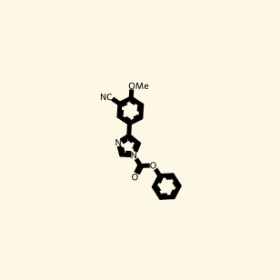 COc1ccc(-c2cn(C(=O)Oc3ccccc3)cn2)cc1C#N